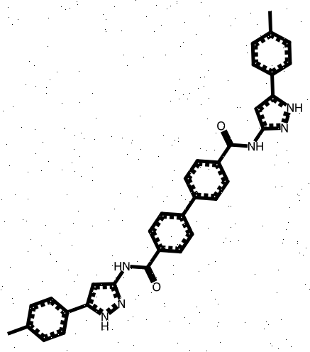 Cc1ccc(-c2cc(NC(=O)c3ccc(-c4ccc(C(=O)Nc5cc(-c6ccc(C)cc6)[nH]n5)cc4)cc3)n[nH]2)cc1